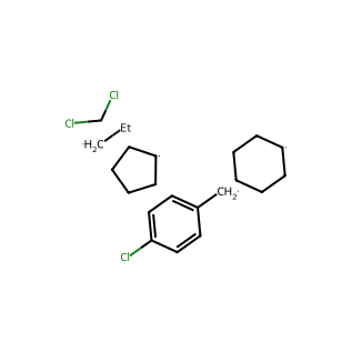 ClCCl.[CH2]CC.[CH2]c1ccc(Cl)cc1.[CH]1CCCC1.[CH]1CCCCC1